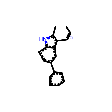 C/C=C\c1c(C)[nH]c2ccc(-c3ccccc3)cc12